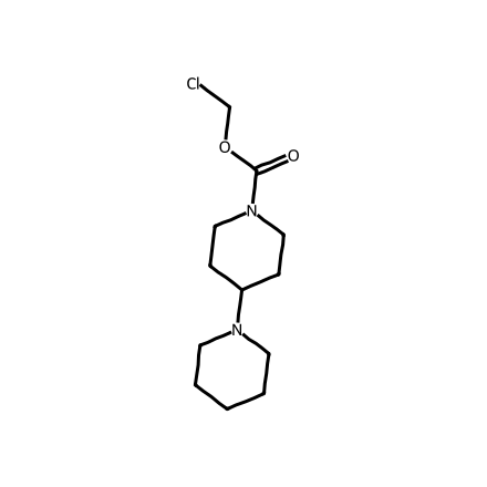 O=C(OCCl)N1CCC(N2CCCCC2)CC1